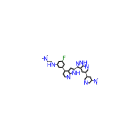 CN(C)CCNc1cc(F)cc(-c2ccnc3[nH]c(-c4n[nH]c5ncc(-c6cncc(N(C)C)c6)cc45)cc23)c1